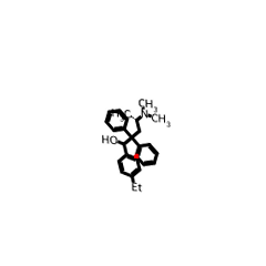 CCc1ccc(C(O)C(C[C@H](C)N(C)C)(c2ccccc2)c2ccccc2)cc1